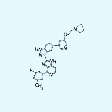 Cc1cc(F)cc(-c2nccc3[nH]c(-c4n[nH]c5ccc(-c6cncc(OCCN7CCCC7)c6)cc45)nc23)c1